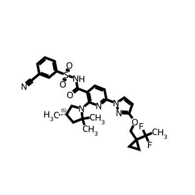 C[C@@H]1CN(c2nc(-n3ccc(OCC4(C(C)(F)F)CC4)n3)ccc2C(=O)NS(=O)(=O)c2cccc(C#N)c2)C(C)(C)C1